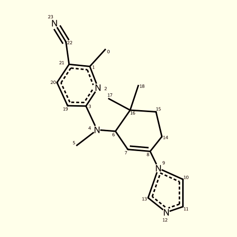 Cc1nc(N(C)C2C=C(n3ccnc3)CCC2(C)C)ccc1C#N